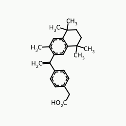 C=C(c1ccc(CC(=O)O)cc1)c1cc2c(cc1C)C(C)(C)CCC2(C)C